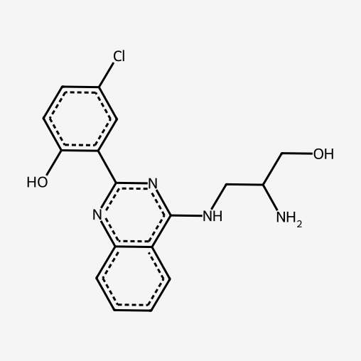 NC(CO)CNc1nc(-c2cc(Cl)ccc2O)nc2ccccc12